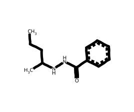 CCCC(C)NNC(=O)c1ccccc1